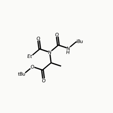 CCC(=O)N(C(=O)NC(C)CC)C(C)C(=O)OC(C)(C)C